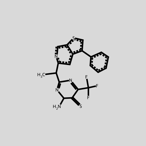 CC(C1=NC(N)C(=S)C(C(F)(F)F)=N1)c1cc2c(-c3ccccc3)csc2cn1